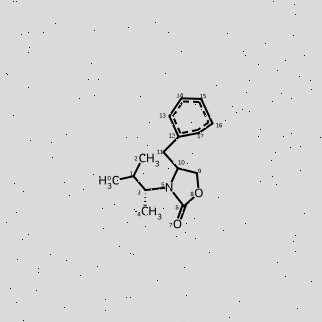 CC(C)[C@@H](C)N1C(=O)OCC1Cc1ccccc1